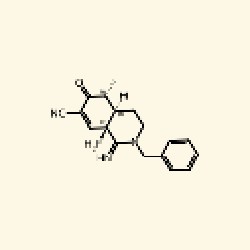 C[C@H]1C(=O)C(C#N)=C[C@@]2(P)C(=N)N(Cc3ccccc3)CC[C@H]12